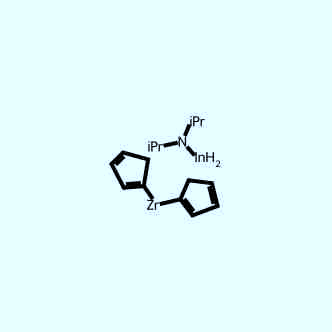 C1=CC[C]([Zr][C]2=CC=CC2)=C1.CC(C)[N]([InH2])C(C)C